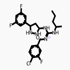 CCCC(C)N/C(=N/C(=O)c1ccc(Cl)c(F)c1)NC1CC(c2cc(F)cc(F)c2)NN1